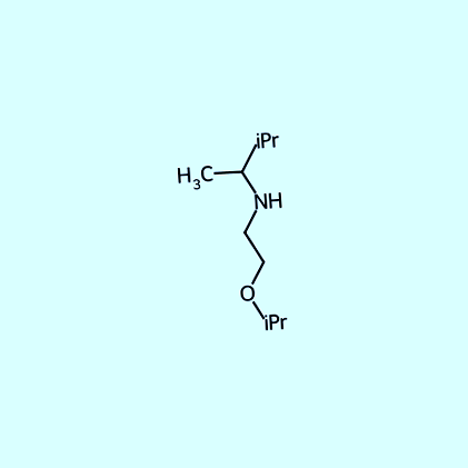 CC(C)OCCNC(C)C(C)C